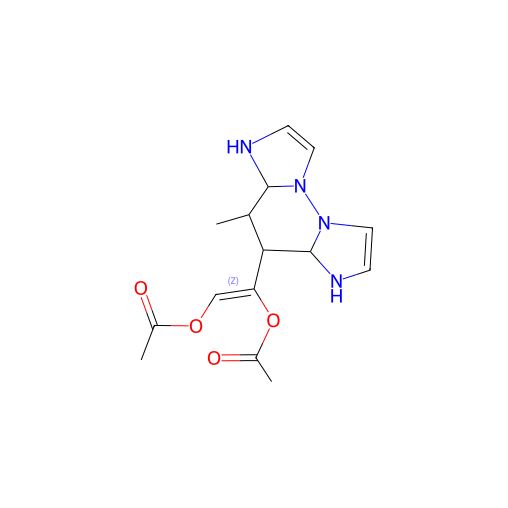 CC(=O)O/C=C(\OC(C)=O)C1C(C)C2NC=CN2N2C=CNC12